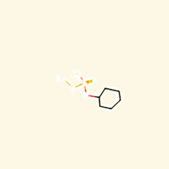 OP(=S)(OC1CCCCC1)SS